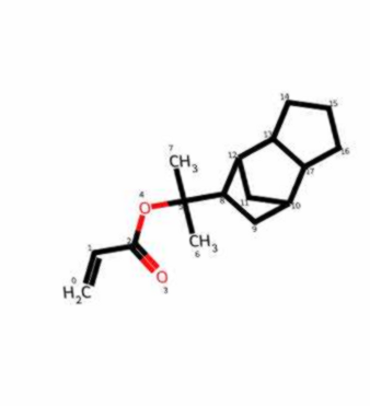 C=CC(=O)OC(C)(C)C1CC2CC1C1CCCC21